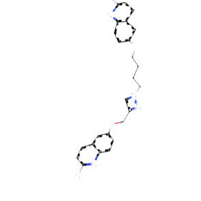 Nc1ccc2cc(OCCCCn3cc(COc4ccc5nc(N)ccc5c4)[nH]3)ccc2n1